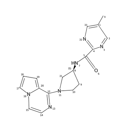 Cc1cnc(C(=O)N[C@H]2CCN(c3nccn4cccc34)C2)nc1